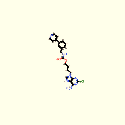 Nc1nc(Cl)nc2c1ncn2CCCCOC(O)NCc1cccc(-c2ccncc2)c1